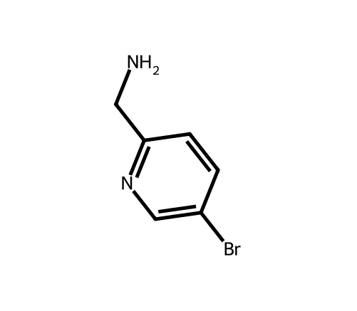 NCc1ccc(Br)cn1